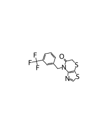 O=C1CSc2scnc2N1Cc1cccc(C(F)(F)F)c1